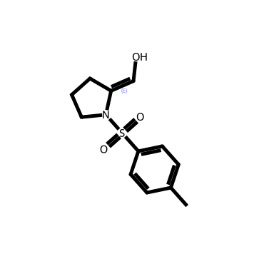 Cc1ccc(S(=O)(=O)N2CCC/C2=C\O)cc1